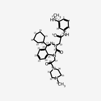 CNc1cccc(NC(=O)CN2N=C(C3CCCCC3)c3ccccc3N(CC(=O)N3CCN(C)CC3)C2=O)c1